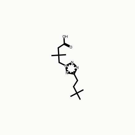 CC(C)(C)CCc1nnn(CC(C)(C)CC(=O)O)n1